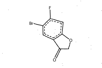 O=C1COc2cc(F)c(Br)cc21